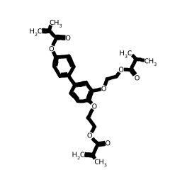 C=C(C)C(=O)OCCOc1ccc(-c2ccc(OC(=O)C(=C)C)cc2)cc1OCCOC(=O)C(C)C